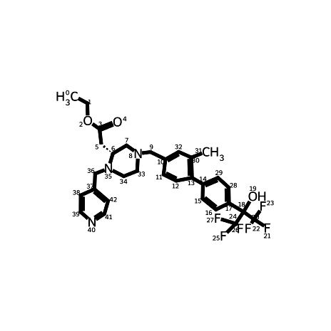 CCOC(=O)C[C@@H]1CN(Cc2ccc(-c3ccc(C(O)(C(F)(F)F)C(F)(F)F)cc3)c(C)c2)CCN1Cc1ccncc1